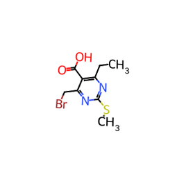 CCc1nc(SC)nc(CBr)c1C(=O)O